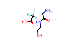 NCC(=O)NCCO.O=C(O)C(F)(F)F